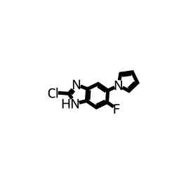 Fc1cc2[nH]c(Cl)nc2cc1-n1cccc1